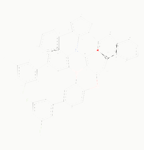 Fc1cc(F)cc(-c2ccc3c(c2)B2c4cc(-c5cc(F)cc(F)c5)ccc4N(c4c(-c5ccccc5)cccc4-c4ccccc4)c4cc(-c5ccccc5)cc(c42)O3)c1